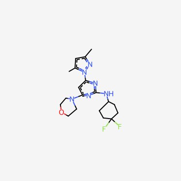 Cc1cc(C)n(-c2cc(N3CCOCC3)nc(NC3CCC(F)(F)CC3)n2)n1